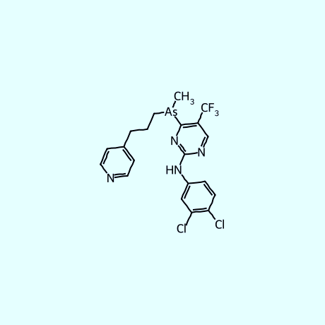 C[As](CCCc1ccncc1)c1nc(Nc2ccc(Cl)c(Cl)c2)ncc1C(F)(F)F